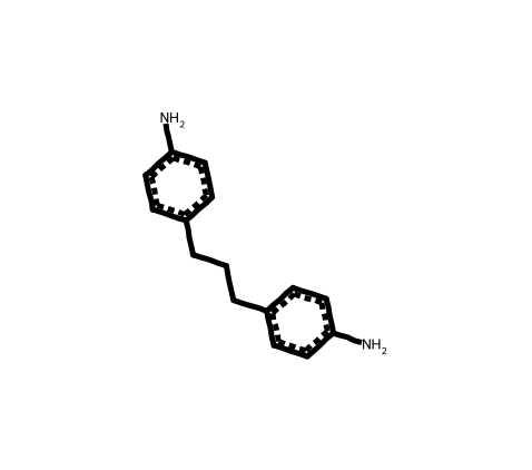 Nc1ccc(CCCc2ccc(N)cc2)cc1